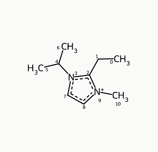 CCc1n(C(C)C)cc[n+]1C